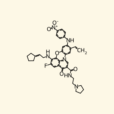 C=Cc1cc2c(cc1Nc1ccc([N+](=O)[O-])cc1)Oc1c(NCC=C3CCCC3)c(F)cc3c(=O)c(C(=O)NCCN4CCCC4)cn-2c13